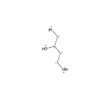 CCCCCCC(O)CC(C)C